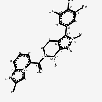 Cc1cn2c(C(=O)N3CCc4c(nn(C)c4-c4cc(F)c(F)c(F)c4)[C@@H]3C)cccc2n1